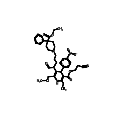 CCOC(=O)C1(c2ccccc2)CCN(CCCN(C=O)C2=C(COC)NC(CC)=C(C(=O)OCCC#N)C2c2ccc([N+](=O)[O-])cc2)CC1